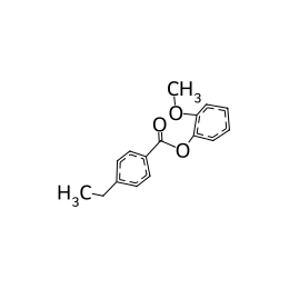 CCc1ccc(C(=O)Oc2ccccc2OC)cc1